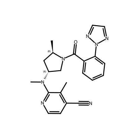 Cc1c(C#N)ccnc1N(C)[C@@H]1C[C@@H](C)N(C(=O)c2ccccc2-n2nccn2)C1